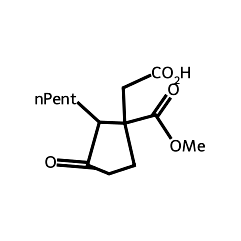 CCCCCC1C(=O)CCC1(CC(=O)O)C(=O)OC